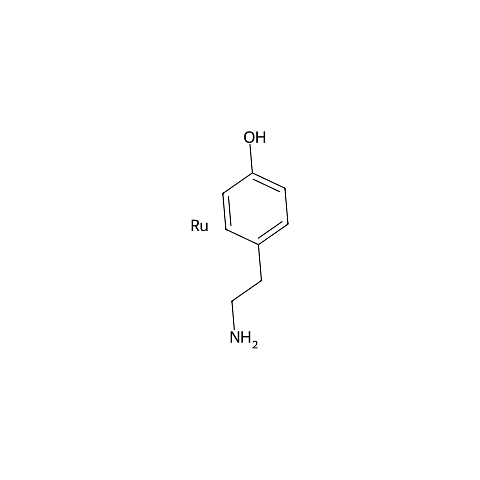 NCCc1ccc(O)cc1.[Ru]